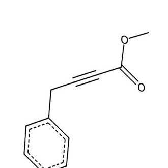 COC(=O)C#CCc1ccccc1